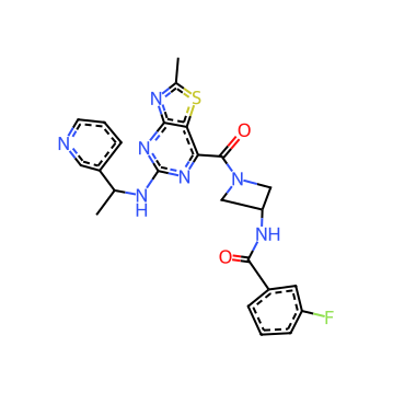 Cc1nc2nc(NC(C)c3cccnc3)nc(C(=O)N3CC(NC(=O)c4cccc(F)c4)C3)c2s1